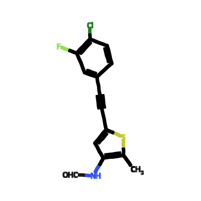 Cc1sc(C#Cc2ccc(Cl)c(F)c2)cc1NC=O